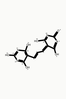 O=C1N=C(O)C(=C/C=C/c2c(O)nc(O)nc2O)C(O)=N1